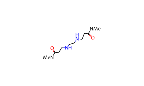 CNC(=O)CCNCCNCCC(=O)NC